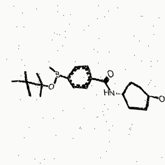 CB(OC(C)(C)C(C)(C)C)c1ccc(C(=O)N[C@H]2CC[C@H](O)CC2)cc1